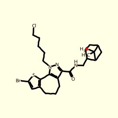 CC1(C)C2CCC(CNC(=O)c3nn(CCCCCCl)c4c3CCCc3cc(Br)sc3-4)C1C2